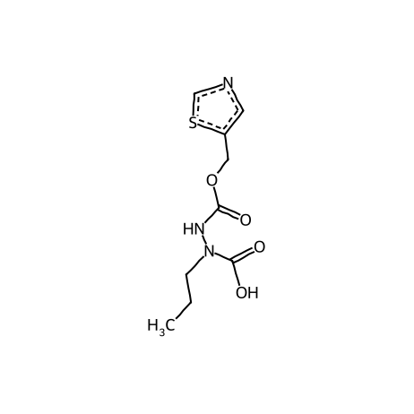 CCCN(NC(=O)OCc1cncs1)C(=O)O